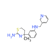 CC1(c2cccc(NCc3cccnc3)c2)CCSC(N)=N1